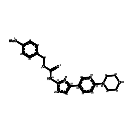 COc1ccc(COC(=O)Nc2nc(-c3ccc(N4CCOCC4)nc3)cs2)cc1